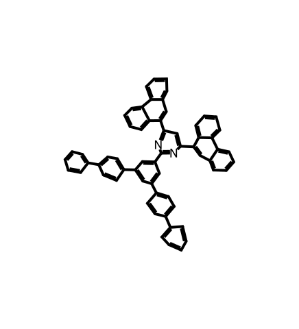 c1ccc(-c2ccc(-c3cc(-c4ccc(-c5ccccc5)cc4)cc(-c4nc(-c5cc6ccccc6c6ccccc56)cc(-c5cc6ccccc6c6ccccc56)n4)c3)cc2)cc1